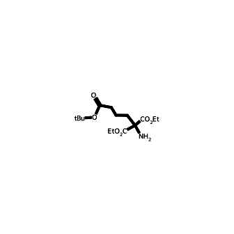 CCOC(=O)C(N)(CCCC(=O)OC(C)(C)C)C(=O)OCC